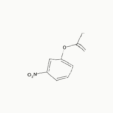 [CH2]C(=C)Oc1cccc([N+](=O)[O-])c1